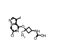 CC1(Oc2nc(Cl)cn3ncc(I)c23)CC(NC(=O)O)C1